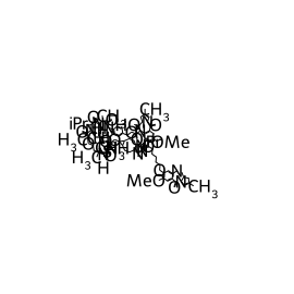 COc1cc2c(cc1OCCCCCOc1cc3c(cc1OC)C(=O)N1C=C(C)CC1C(O)N3C(=O)OCc1ccc(NC(=O)C(C)NC(=O)[C@@H](NC(=O)C(C)(C)OCCC(C)(C)NS(=O)(=O)NC(=O)OC3C4CCc5nnn(C(C)C)c5CCC43)C(C)C)cc1)N=CC1CC(C)=CN1C2=O